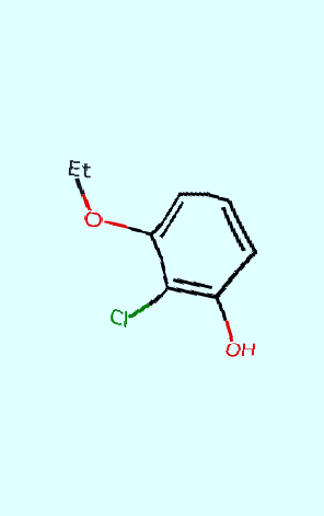 CCOc1cccc(O)c1Cl